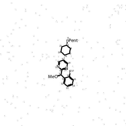 CCCCC[C@H]1CC[C@H](c2cnc(C(OC)c3ccccc3F)nc2)CC1